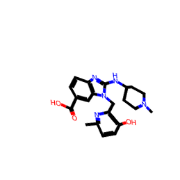 Cc1ccc(O)c(Cn2c(NC3CCN(C)CC3)nc3ccc(C(=O)O)cc32)n1